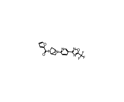 O=C(c1ccco1)N1CC2CC1CN2c1ccc(-c2noc(C(F)(F)F)n2)cn1